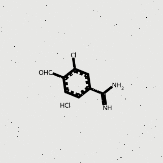 Cl.N=C(N)c1ccc(C=O)c(Cl)c1